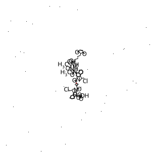 CC(NC(=O)C(NC(=O)CCCCCC1C(=O)C=CC1=O)C(C)C)C(=O)Nc1cc2c(c3ccccc13)C(CCl)CN2C(=O)C12CC(C(=O)N3CC(CCl)c4c3cc(OP(=O)(O)O)c3ccccc43)(C1)C2